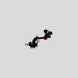 CCNC(=O)c1nnc(-c2cc(C(C)C)c(O)cc2O)n1-c1ccc(Oc2ccc(C(=O)NCCCCCCC3(C)OB([C@H](CC(C)C)NC(=O)[C@H](Cc4ccccc4)NC(=O)c4cnccn4)OC3(C)C)cc2)cc1